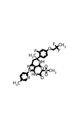 Cc1ccc(-n2nc3c(c2NC(=O)CS(C)(=O)=O)C(=O)N[C@](C)(c2ccc(OCC(C)(F)F)cc2F)C3)nc1